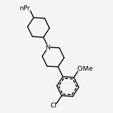 CCCC1CCC(N2CCC(c3cc(Cl)ccc3OC)CC2)CC1